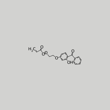 C=CC(=O)OOCCOc1ccc(C(=O)c2ccccc2)c(O)c1